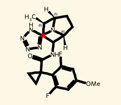 COc1cc(F)c(C2(C(=O)NC3C[C@@H](C)[C@@H]4CC[C@H]3N4c3nnn[nH]3)CC2)c(F)c1